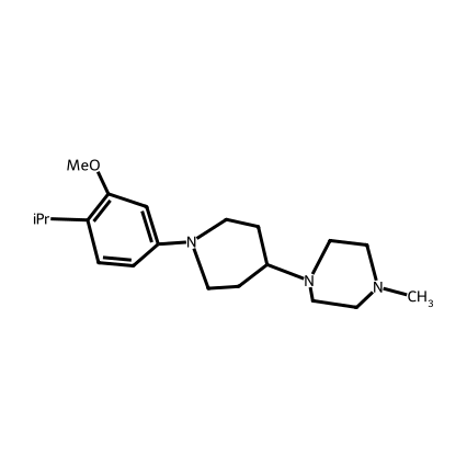 COc1cc(N2CCC(N3CCN(C)CC3)CC2)ccc1C(C)C